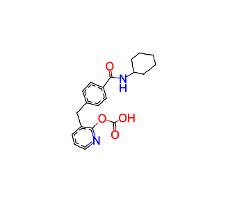 O=C(O)Oc1ncccc1Cc1ccc(C(=O)NC2CCCCC2)cc1